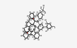 Cc1cc(C)c(-c2cc3c4c(c2)N(c2ccc(C(C)(C)C)cc2-c2ccccc2)c2ccc5sc6ccccc6c5c2B4n2c4sc5ccccc5c4c4cccc-3c42)c(C)c1